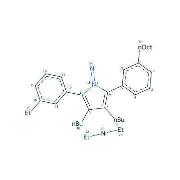 CCCCCCCCc1cccc(C2=C(CCCC)C(CCCC)=C(c3cccc(CC)c3)[N+]2=[N-])c1.C[CH2][Ni][CH2]C